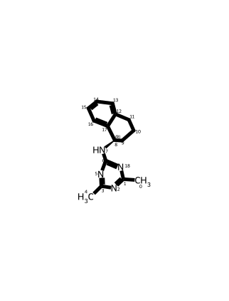 Cc1nc(C)nc(N[C@@H]2CCCc3ccccc32)n1